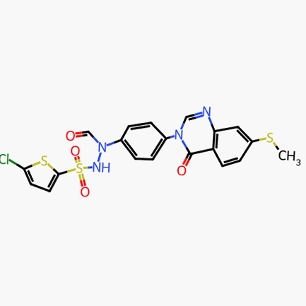 CSc1ccc2c(=O)n(-c3ccc(N(C=O)NS(=O)(=O)c4ccc(Cl)s4)cc3)cnc2c1